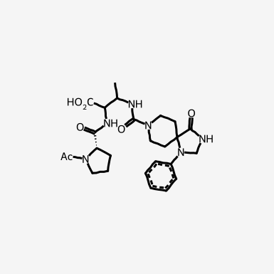 CC(=O)N1CCC[C@H]1C(=O)NC(C(=O)O)C(C)NC(=O)N1CCC2(CC1)C(=O)NCN2c1ccccc1